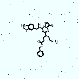 NCCC(CCC(=O)OCc1ccccc1)c1cc(NCc2ccc3[nH]cnc3c2)n2ncc(Br)c2n1